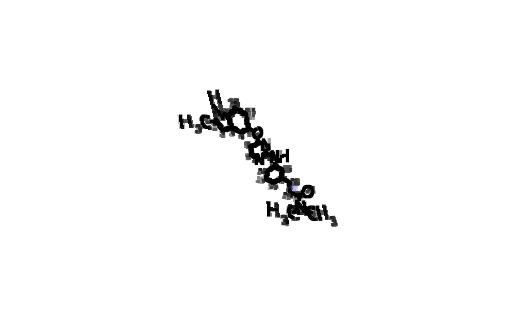 Cc1cc2cc(Oc3ccnc(Nc4cccc(/C=C/C(=O)N(C)C)c4)n3)ccc2[nH]1